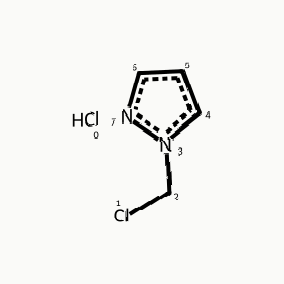 Cl.ClCn1cccn1